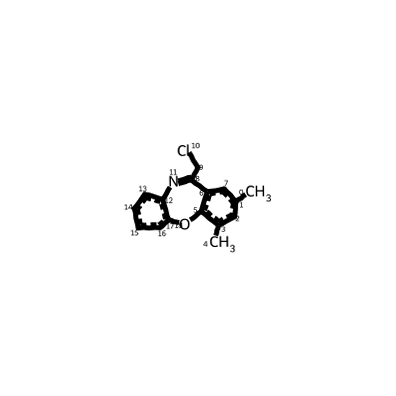 Cc1cc(C)c2c(c1)C(CCl)=Nc1ccccc1O2